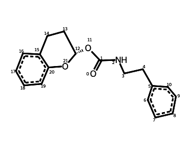 O=C(NCCc1ccccc1)O[C@H]1CCc2ccccc2O1